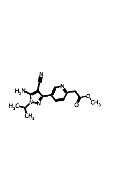 COC(=O)Cc1ccc(-c2nn(C(C)C)c(N)c2C#N)cn1